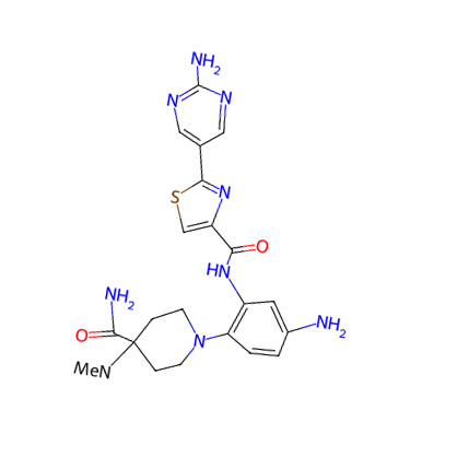 CNC1(C(N)=O)CCN(c2ccc(N)cc2NC(=O)c2csc(-c3cnc(N)nc3)n2)CC1